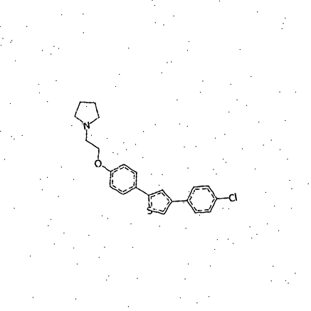 Clc1ccc(-c2csc(-c3ccc(OCCN4CCCC4)cc3)c2)cc1